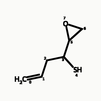 C=CCC(S)C1CO1